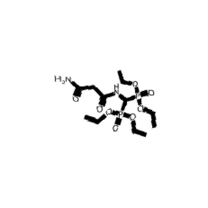 CCOP(=O)(OCC)C(NC(=O)CC(N)=O)P(=O)(OCC)OCC